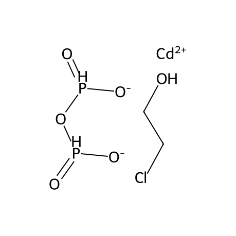 O=[PH]([O-])O[PH](=O)[O-].OCCCl.[Cd+2]